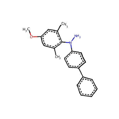 COc1cc(C)c(N(N)c2ccc(-c3ccccc3)cc2)c(C)c1